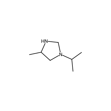 CC1CN(C(C)C)CN1